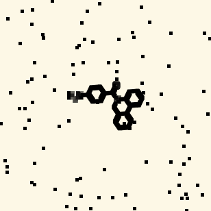 Nc1ccc(C(=O)N2Cc3ccccc3-c3ccccc32)cc1